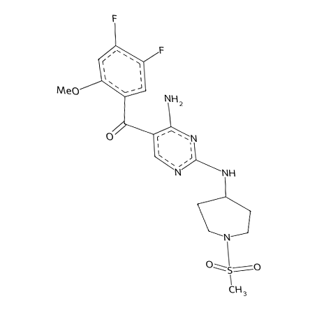 COc1cc(F)c(F)cc1C(=O)c1cnc(NC2CCN(S(C)(=O)=O)CC2)nc1N